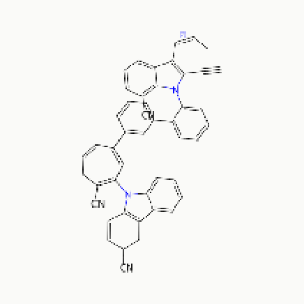 C#Cc1c(/C=C\C)c2cccc(C#N)c2n1-c1ccccc1-c1cccc(C2=CC(n3c4c(c5ccccc53)CC(C#N)C=C4)=C(C#N)CC=C2)c1